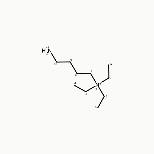 CC[N+](CC)(CC)CCCCN